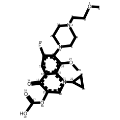 COCCN1CCN(c2c(F)cc3c(=O)c(OC(=O)O)cn(C4CC4)c3c2OC)CC1